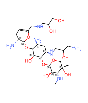 CN[C@@H]1[C@@H](O)[C@@H](O[C@H]2[C@H](NCC(O)CN)C[C@H](N)C(O[C@H]3OC(CNCC(O)CO)=CC[C@H]3N)[C@@H]2O)OC[C@]1(C)O